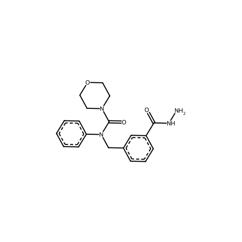 NNC(=O)c1cccc(CN(C(=O)N2CCOCC2)c2ccccc2)c1